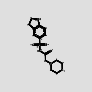 O=C(CN1CCOCC1)NS(=O)(=O)c1ccc2c(c1)CCN2